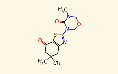 CN1COCN(c2nc3c(s2)C(=O)CC(C)(C)C3)C1=O